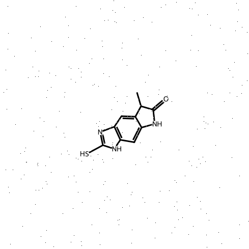 CC1C(=O)Nc2cc3[nH]c(S)nc3cc21